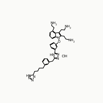 Cl.NCCc1cccc2c1c(CCN)c(CCN)n2Oc1cccc(-c2nnc(Cc3cccc(CCCCc4nnn[nH]4)c3)[nH]2)c1